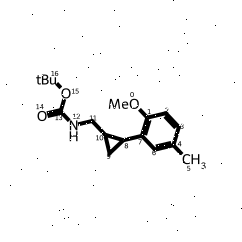 COc1ccc(C)cc1C1CC1CNC(=O)OC(C)(C)C